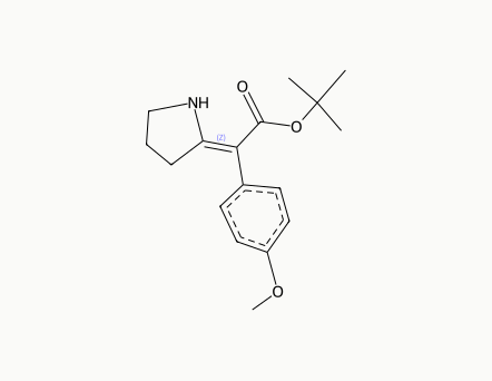 COc1ccc(/C(C(=O)OC(C)(C)C)=C2\CCCN2)cc1